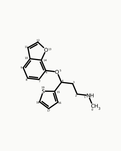 CNCCC(Oc1cccc2ccoc12)c1cccs1